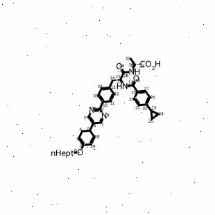 CCCCCCCOC1=CCC(c2cnc(-c3ccc(C[C@H](NC(=O)c4ccc(C5CC5)cc4)C(=O)N[C@H](C)C(=O)O)cc3)nc2)C=C1